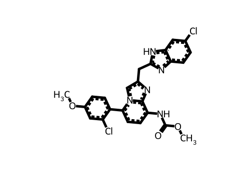 COC(=O)Nc1ccc(-c2ccc(OC)cc2Cl)n2cc(Cc3nc4ccc(Cl)cc4[nH]3)nc12